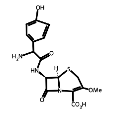 COC1=C(C(=O)O)N2C(=O)[C@@H](NC(=O)C(N)c3ccc(O)cc3)[C@H]2SC1